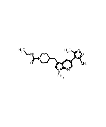 CCNC(=O)N1CCC(Cc2cn(C)c3ncc(-c4c(C)noc4C)cc23)CC1